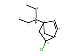 CC[SiH](CC)C12C=CC(C1)C(Cl)C2